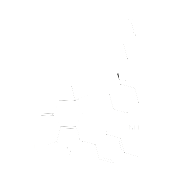 [CH]c1ccc(-n2nc(C(F)(F)F)c3c2CC(C)(C)CC3=O)cc1N[C@H]1CC[C@H](OC/C=N/O)CC1